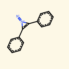 [N-]=[N+]1C(c2ccccc2)=C1c1ccccc1